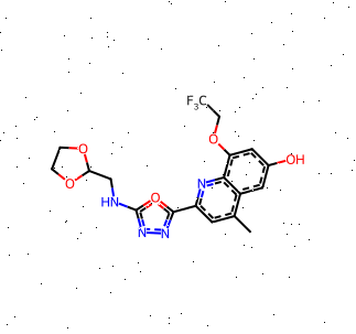 Cc1cc(-c2nnc(NCC3OCCO3)o2)nc2c(OCC(F)(F)F)cc(O)cc12